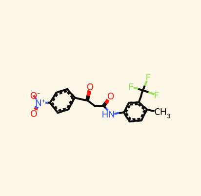 Cc1ccc(NC(=O)CC(=O)c2ccc([N+](=O)[O-])cc2)cc1C(F)(F)F